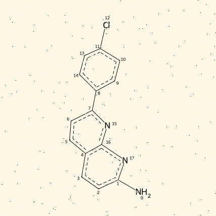 Nc1ccc2ccc(-c3ccc(Cl)cc3)nc2n1